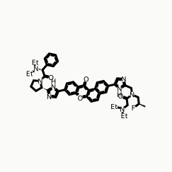 CCN(CC)CC(=O)N(Cc1ncc(-c2ccc3c(ccc4oc5cc(-c6cnc([C@@H]7CCCN7C(=O)[C@@H](c7ccccc7)N(CC)CC)[nH]6)ccc5c(=O)c43)c2)[nH]1)C[C@@H](C)F